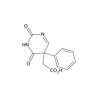 O=C(O)CC1(c2ccccc2)C=NC(=O)NC1=O